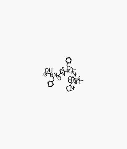 CC[C@H](C)[C@H](NC(=O)C1CCCCN1C)C(=O)N(C)[C@H](C[C@@H](OCc1ccccc1)c1nc(C(=O)NC(Cc2ccccc2)CC(C)C(=O)O)cs1)C(C)C